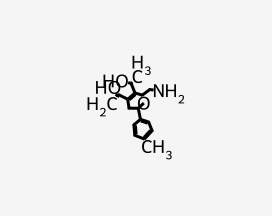 C=C(O)C1=C(C(C)O)C(CN)OC(c2ccc(C)cc2)C1